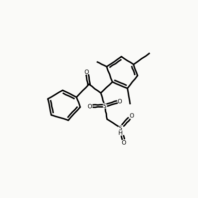 Cc1cc(C)c(C(C(=O)c2ccccc2)S(=O)(=O)C[SH](=O)=O)c(C)c1